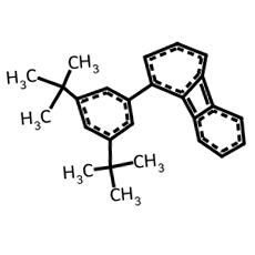 CC(C)(C)c1cc(-c2cccc3c2=c2ccccc2=3)cc(C(C)(C)C)c1